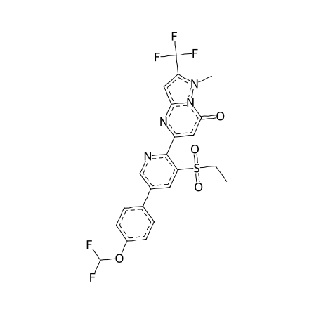 CCS(=O)(=O)c1cc(-c2ccc(OC(F)F)cc2)cnc1-c1cc(=O)n2c(cc(C(F)(F)F)n2C)n1